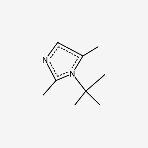 Cc1cnc(C)n1C(C)(C)C